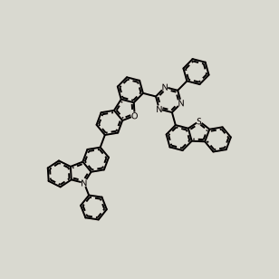 c1ccc(-c2nc(-c3cccc4c3oc3cc(-c5ccc6c(c5)c5ccccc5n6-c5ccccc5)ccc34)nc(-c3cccc4c3sc3ccccc34)n2)cc1